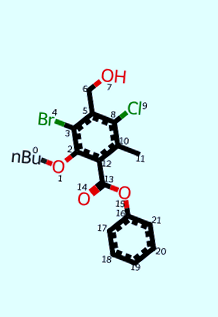 CCCCOc1c(Br)c(CO)c(Cl)c(C)c1C(=O)Oc1ccccc1